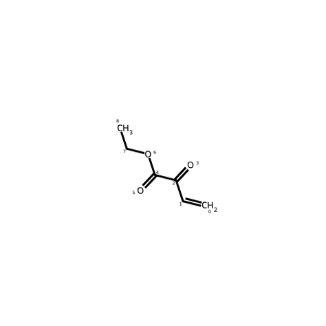 C=CC(=O)C(=O)OCC